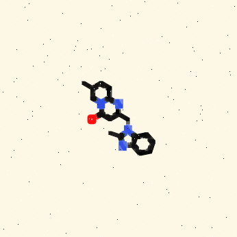 Cc1ccc2nc(Cn3c(C)nc4ccccc43)cc(=O)n2c1